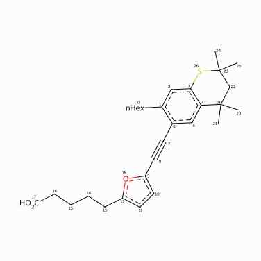 CCCCCCc1cc2c(cc1C#Cc1ccc(CCCCC(=O)O)o1)C(C)(C)CC(C)(C)S2